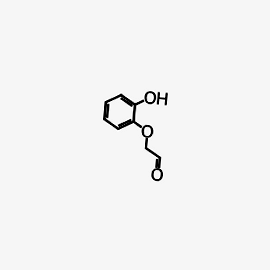 O=CCOc1ccccc1O